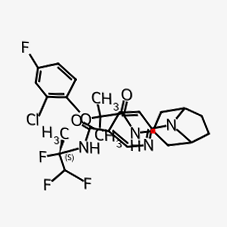 CC(C)(Oc1ccc(F)cc1Cl)C(=O)NC1CC2CCC(C1)N2c1ccc(C(=O)N[C@@](C)(F)C(F)F)cn1